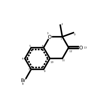 CC1(C)Oc2ccc(Br)cc2CC1=O